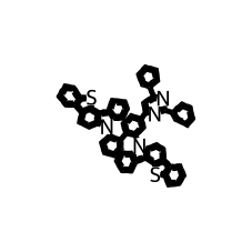 c1ccc(-c2cc(-c3ccc(-c4ccccc4-n4c5ccccc5c5c6sc7ccccc7c6ccc54)c(-n4c5ccccc5c5c6sc7ccccc7c6ccc54)c3)nc(-c3ccccc3)n2)cc1